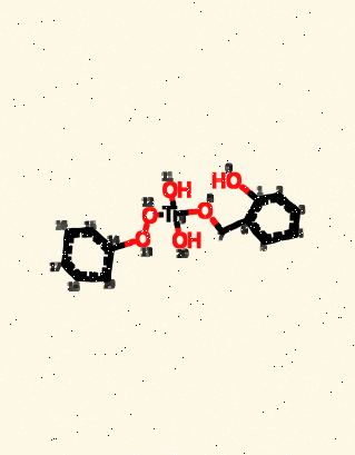 Oc1ccccc1C[O][Ti]([OH])([OH])[O]Oc1ccccc1